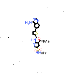 CCCNS(=O)(=O)c1cnc(NCc2ccc(-c3ccc4ncnc(N)c4c3)s2)c(C(=O)NC)c1